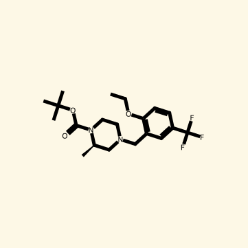 CCOc1ccc(C(F)(F)F)cc1CN1CCN(C(=O)OC(C)(C)C)[C@H](C)C1